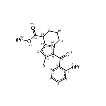 CCCc1ccccc1C(=O)c1c(C)cc2n1CCCC2C(=O)OC(C)C